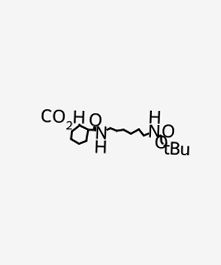 CC(C)(C)OC(=O)NCCCCCCNC(=O)C1CCCCC1C(=O)O